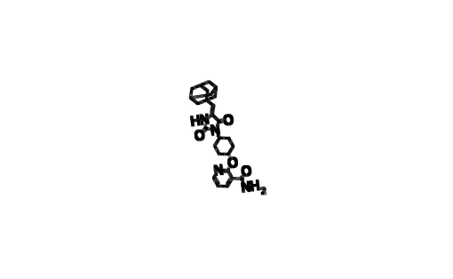 NC(=O)c1cccnc1O[C@H]1CC[C@H](N2C(=O)N/C(=C\C34CC5CC(CC(C5)C3)C4)C2=O)CC1